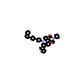 CC1(C)c2ccccc2-c2ccc(N(c3ccc(-c4ccc(-c5cccc6ccccc56)cc4)cc3)c3cccc4c3-c3ccccc3C43c4ccccc4N(c4ccccc4)c4ccccc43)cc21